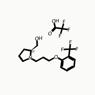 O=C(O)C(F)(F)F.OC[C@@H]1CCCN1CCCOc1c[c]ccc1C(F)(F)F